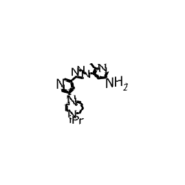 Cc1ncc(N)cc1-n1cc(-c2cncc(N3CCCN(C(C)C)CC3)c2)nn1